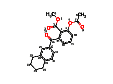 COC(=O)c1c(OC(C)=O)cccc1C(=O)c1ccc2c(c1)CCCC2